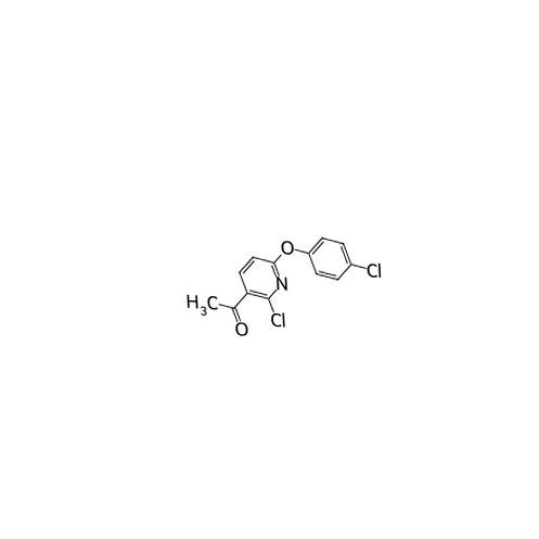 CC(=O)c1ccc(Oc2ccc(Cl)cc2)nc1Cl